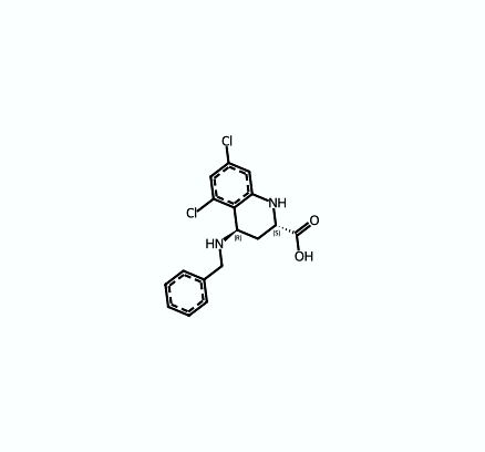 O=C(O)[C@@H]1C[C@@H](NCc2ccccc2)c2c(Cl)cc(Cl)cc2N1